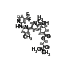 Cc1cc(Nc2cc(C(F)F)ccn2)nc(-c2ccc([C@](C)(O)[C@H]3CC[C@H](C(=O)OCCC(=O)N(C)C)CC3)nc2)c1